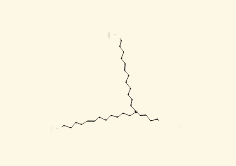 CC(C)CCCCCCCCCCCCC(CCCCCCCCCCCCC(C)C)(CCCCC(=O)O)C(=O)O